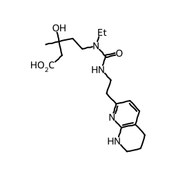 CCN(CCC(C)(O)CC(=O)O)C(=O)NCCc1ccc2c(n1)NCCC2